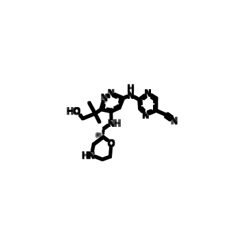 CC(C)(CO)c1nnc(Nc2cnc(C#N)cn2)cc1NC[C@H]1CNCCO1